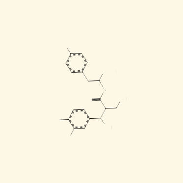 CC(c1ccc(F)c(F)c1)C(CS)C(=O)NC(Cc1ccc(O)cc1)C(=O)O